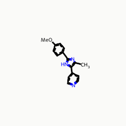 COc1ccc(-c2nc(C)c(-c3ccncc3)[nH]2)cc1